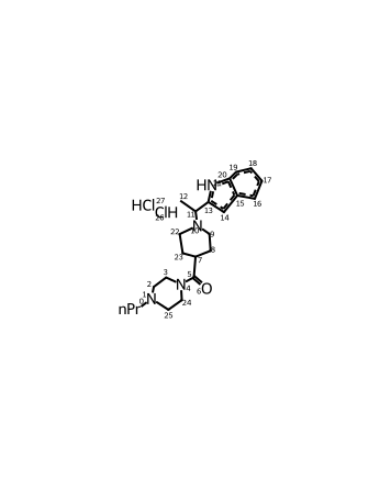 CCCN1CCN(C(=O)C2CCN(C(C)c3cc4ccccc4[nH]3)CC2)CC1.Cl.Cl